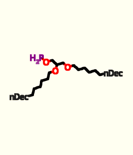 CCCCCCCCCCCCCCCCOCC(COP)OCCCCCCCCCCCCCCCC